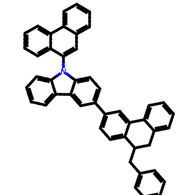 c1ccc(CC2Cc3ccccc3-c3cc(-c4ccc5c(c4)c4ccccc4n5-c4cc5ccccc5c5ccccc45)ccc32)cc1